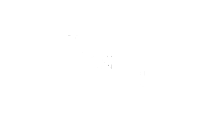 O=S(=O)(c1ccc(C(F)(F)F)cc1)N1CCC(c2ccccc2C(F)(F)F)CC1